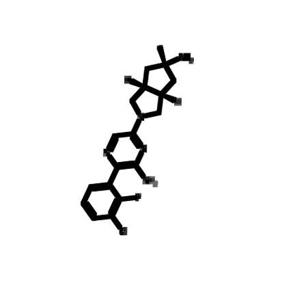 C[C@]1(N)C[C@H]2CN(c3cnc(-c4cccc(Cl)c4F)c(N)n3)C[C@H]2C1